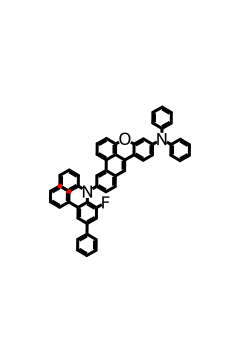 Fc1cc(-c2ccccc2)cc(-c2ccccc2)c1N(c1ccccc1)c1ccc2cc3c4c(cccc4c2c1)Oc1cc(N(c2ccccc2)c2ccccc2)ccc1-3